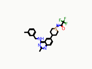 Cc1cccc(CNc2nc(C)nc3ccc(C4CCS(=NC(=O)C(F)(F)F)CC4)cc23)c1